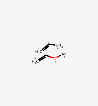 C=COC(C)=O.C=C[SiH3]